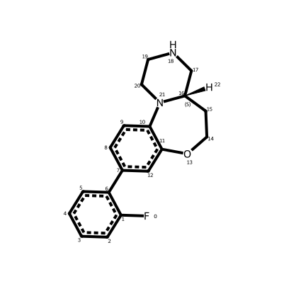 Fc1ccccc1-c1ccc2c(c1)OCC[C@H]1CNCCN21